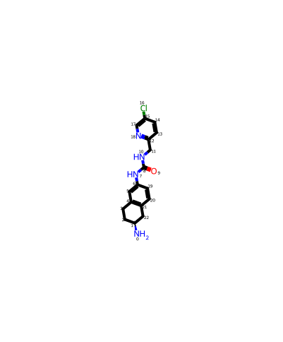 N[C@H]1CCc2cc(NC(=O)NCc3ccc(Cl)cn3)ccc2C1